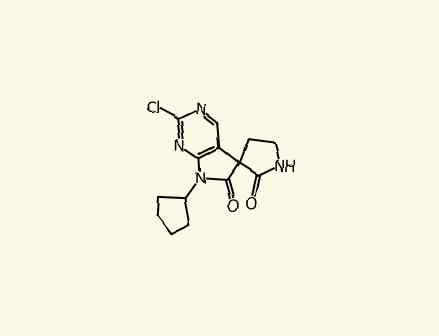 O=C1NCCC12C(=O)N(C1CCCC1)c1nc(Cl)ncc12